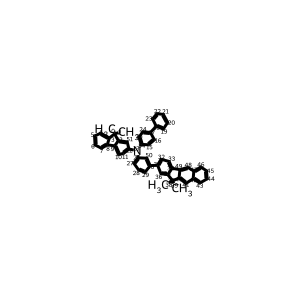 CC1(C)c2ccccc2-c2ccc(N(c3ccc(-c4ccccc4)cc3)c3cccc(-c4ccc5c(c4)C(C)(C)c4cc6ccccc6cc4-5)c3)cc21